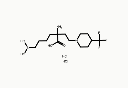 Cl.Cl.NC(CCCCB(O)O)(CCN1CCC(C(F)(F)F)CC1)C(=O)O